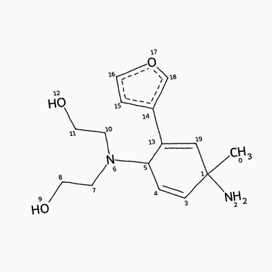 CC1(N)C=CC(N(CCO)CCO)C(c2ccoc2)=C1